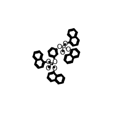 O=P(Oc1cccc(OP(=O)(Oc2cccc3ccccc23)Oc2cccc3ccccc23)c1)(Oc1cccc2ccccc12)Oc1cccc2ccccc12